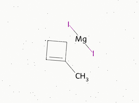 CC1=C[CH]C1.[I][Mg][I]